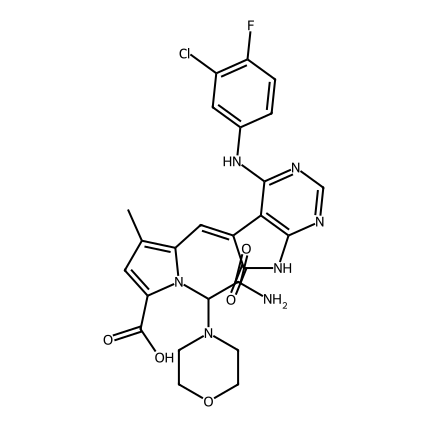 Cc1cc(C(=O)O)n(C(C(N)=O)N2CCOCC2)c1C=C1C(=O)Nc2ncnc(Nc3ccc(F)c(Cl)c3)c21